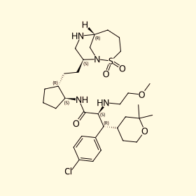 COCCN[C@H](C(=O)N[C@H]1CCC[C@@H]1CC[C@H]1CN[C@@H]2CCCS(=O)(=O)N1C2)[C@@H](c1ccc(Cl)cc1)C1CCOC(C)(C)C1